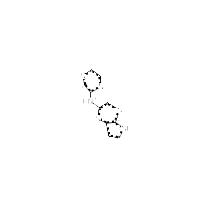 c1cnc(Nc2cnc3[nH]ccc3n2)cn1